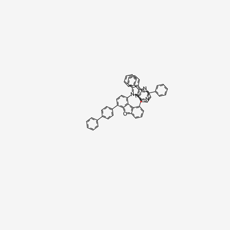 c1ccc(-c2ccc(-c3ccc(-n4c5ccccc5c5ccccc54)c4c3oc3cccc(-c5nc(-c6ccccc6)nc(-c6ccccc6)n5)c34)cc2)cc1